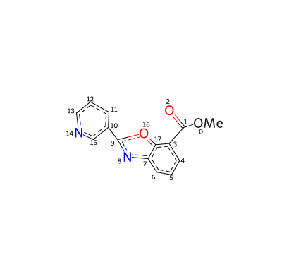 COC(=O)c1cccc2nc(-c3cccnc3)oc12